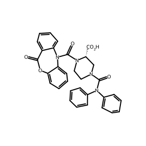 O=C1Oc2ccccc2N(C(=O)N2CCN(C(=O)N(c3ccccc3)c3ccccc3)C[C@H]2C(=O)O)c2ccccc21